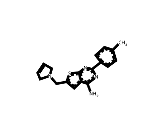 Cc1ccc(-c2nc(N)c3cc(CN4CC=CC4)sc3n2)cc1